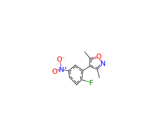 Cc1noc(C)c1-c1cc([N+](=O)[O-])ccc1F